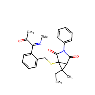 CON=C(C(=O)OC)c1ccccc1CSC12C(=O)N(c3ccccc3)C(=O)C1C2(C)CSC